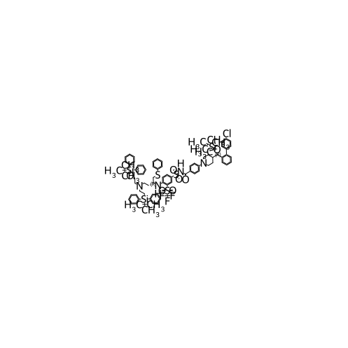 CC(C)(C)[Si](C)(C)O[C@@H](c1ccccc1-c1ccc(Cl)cc1)C1CCN(c2ccc(C(=O)NS(=O)(=O)c3ccc(N[C@H](CCN(CCO[Si](c4ccccc4)(c4ccccc4)C(C)(C)C)CC[Si](c4ccccc4)(c4ccccc4)C(C)(C)C)CSc4ccccc4)c(S(=O)(=O)C(F)(F)F)c3)cc2)CC1